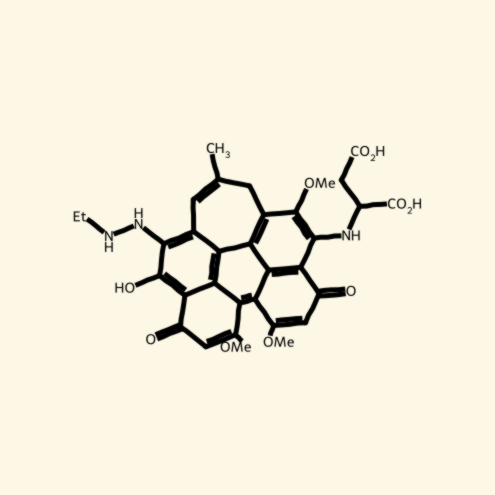 CCNNc1c(O)c2c(=O)cc(OC)c3c4c(OC)cc(=O)c5c(NC(CC(=O)O)C(=O)O)c(OC)c6c(c(c1C=C(C)C6)c23)c54